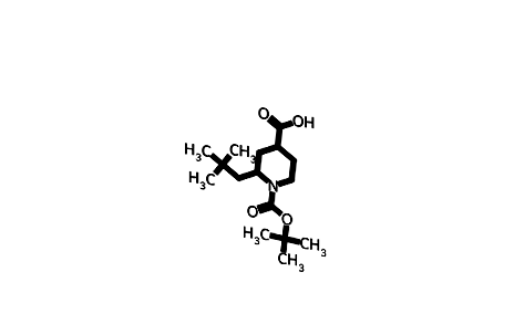 CC(C)(C)CC1CC(C(=O)O)CCN1C(=O)OC(C)(C)C